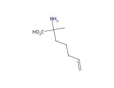 C=CCCCC(C)(N)C(=O)O